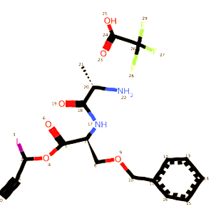 C#CC(I)OC(=O)[C@H](COCc1ccccc1)NC(=O)[C@H](C)N.O=C(O)C(F)(F)F